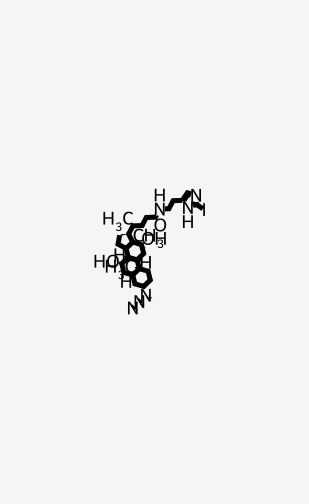 C[C@H](CCC(=O)NCCc1cnc(I)[nH]1)[C@H]1CCC2[C@@H]3[C@H](O)C[C@@H]4C[C@@H](N=[N+]=[N-])CC[C@]4(C)[C@H]3C[C@H](O)[C@@]21C